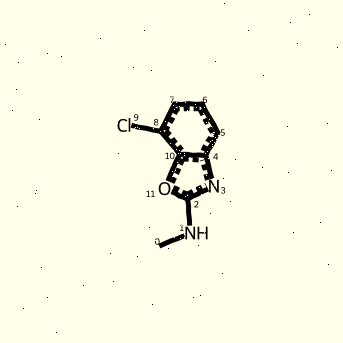 CNc1nc2cccc(Cl)c2o1